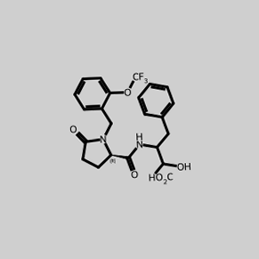 O=C(O)C(O)C(Cc1ccccc1)NC(=O)[C@H]1CCC(=O)N1Cc1ccccc1OC(F)(F)F